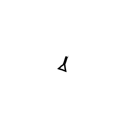 [C]=C1CC1